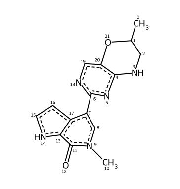 CC1CNc2nc(-c3cn(C)c(=O)c4[nH]ccc34)ncc2O1